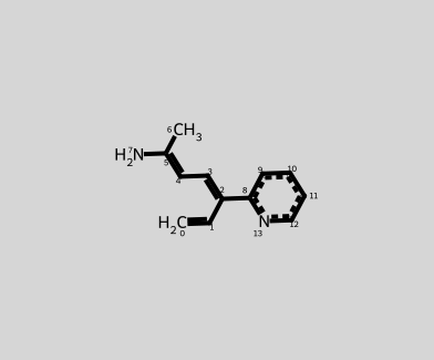 C=C/C(=C\C=C(/C)N)c1ccccn1